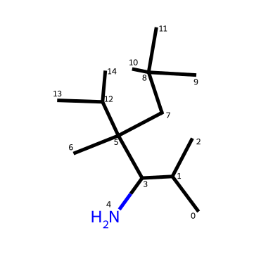 CC(C)C(N)C(C)(CC(C)(C)C)C(C)C